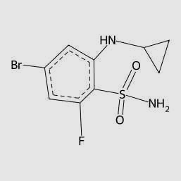 NS(=O)(=O)c1c(F)cc(Br)cc1NC1CC1